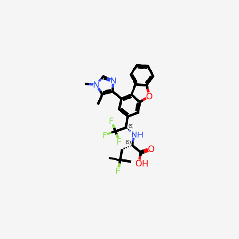 Cc1c(-c2cc([C@H](N[C@@H](CC(C)(C)F)C(=O)O)C(F)(F)F)cc3oc4ccccc4c23)ncn1C